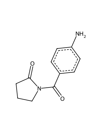 Nc1ccc(C(=O)N2CCCC2=O)cc1